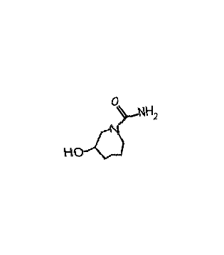 NC(=O)N1CCCC(O)C1